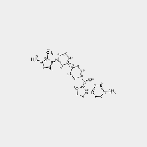 Cc1ccc([C@@H]2CCON2C(=O)C2CCN(c3nccc(-n4ncc(N)c4C)n3)CC2)cn1